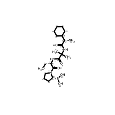 CC[C@H](NC(=O)C(C)(C)NC(=O)[C@@H](N)C1CCCCC1)C(=O)N1CCC[C@H]1B(O)O